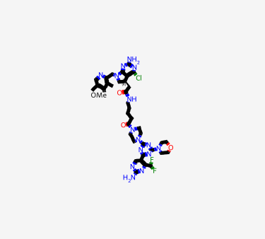 COc1c(C)cnc(CN2C[C@H](CC(=O)NCCCCC(=O)N3CCN(c4nc(-c5cnc(N)nc5C(F)F)nc(N5CCOCC5)n4)CC3)c3c(Cl)nc(N)nc32)c1C